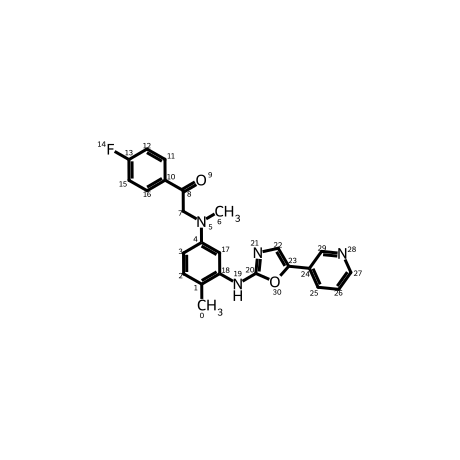 Cc1ccc(N(C)CC(=O)c2ccc(F)cc2)cc1Nc1ncc(-c2cccnc2)o1